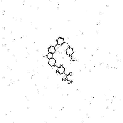 CC(=O)N1CCN(Cc2cccc(-c3ccc4[nH]c5c(c4c3)CN(c3ncc(C(=O)NO)cn3)CC5)c2)CC1